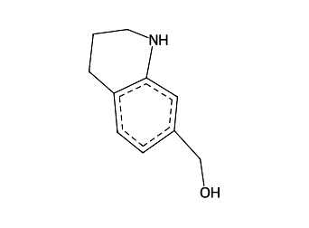 OCc1ccc2c(c1)NCCC2